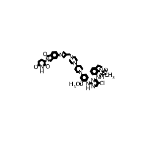 COc1cc(N2CCC(N3CCN(CC4CN(c5ccc6c(c5)CN(C5CCC(=O)NC5=O)C6=O)C4)CC3)CC2)ccc1Nc1ncc(Cl)c(Nc2cccc3c2N(S(C)(=O)=O)CC3)n1